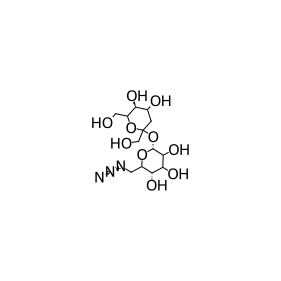 [N-]=[N+]=NCC1O[C@H](OC2(CO)CC(O)[C@H](O)C(CO)O2)C(O)C(O)[C@@H]1O